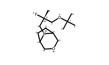 CC(C)(C)OC[C@@](C)(F)CN1C2CCC1COC2